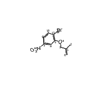 C=C(C)COc1cc([N+](=O)[O-])ccc1Br